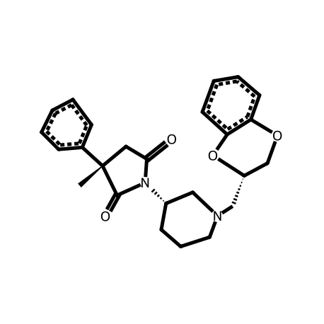 C[C@@]1(c2ccccc2)CC(=O)N([C@H]2CCCN(C[C@H]3COc4ccccc4O3)C2)C1=O